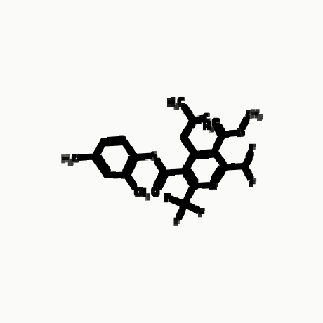 COC(=O)c1c(C(F)F)nc(C(F)(F)F)c(C(=O)Sc2ccc(C)cc2C)c1CC(C)C